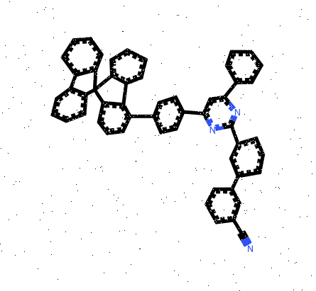 N#Cc1cccc(-c2cccc(-c3nc(-c4ccccc4)cc(-c4ccc(-c5cccc6c5-c5ccccc5C65c6ccccc6-c6ccccc65)cc4)n3)c2)c1